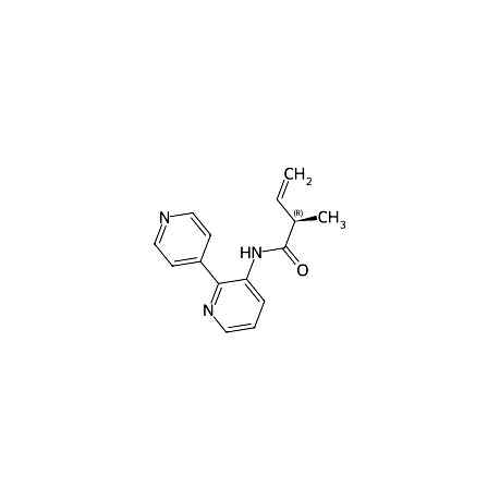 C=C[C@@H](C)C(=O)Nc1cccnc1-c1ccncc1